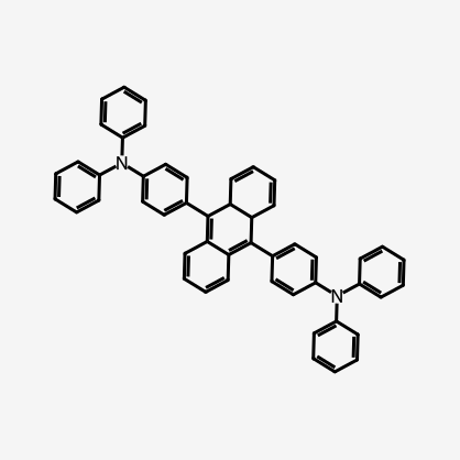 C1=CC2C(c3ccc(N(c4ccccc4)c4ccccc4)cc3)=c3ccccc3=C(c3ccc(N(c4ccccc4)c4ccccc4)cc3)C2C=C1